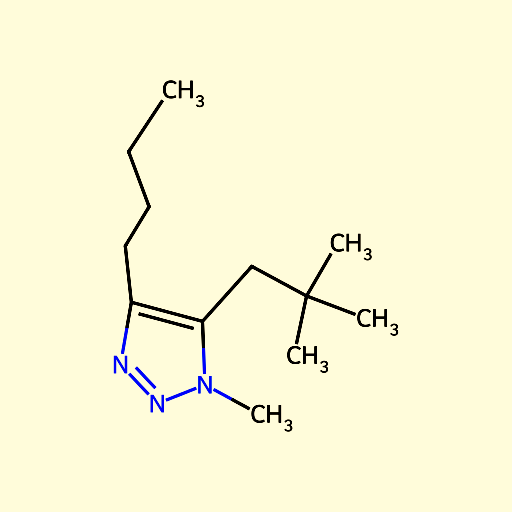 CCCCc1nnn(C)c1CC(C)(C)C